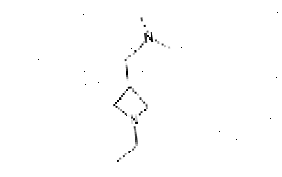 CCN1CC(CN(C)C)C1